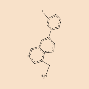 NCc1cncc2cc(-c3cccc(F)c3)ccc12